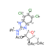 CC(=O)OC[C@H]1O[C@@H](n2c(NC(C)C)nc3c(Cl)c(Cl)c(Cl)cc32)[C@H](OC(C)=O)[C@@H]1OC(C)=O